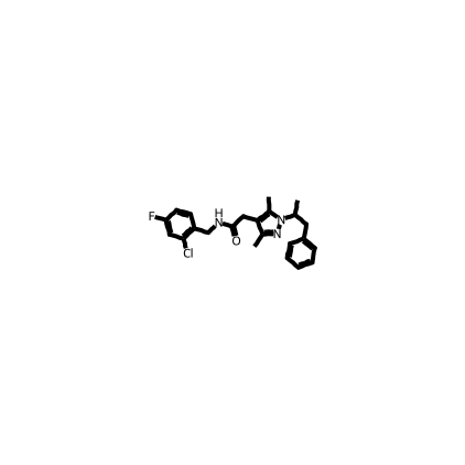 Cc1nn(C(C)Cc2ccccc2)c(C)c1CC(=O)NCc1ccc(F)cc1Cl